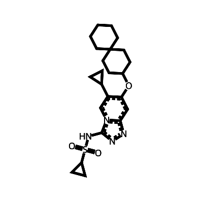 O=S(=O)(Nc1nnc2cc(OC3CCC4(CCCCC4)CC3)c(C3CC3)cn12)C1CC1